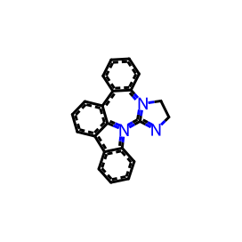 c1ccc2c(c1)c1cccc3c4ccccc4n(c4n2CCN=4)c13